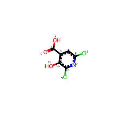 O=C(O)c1cc(Cl)nc(Cl)c1O